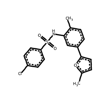 Cc1ccc(-c2ccc(C)c(NS(=O)(=O)c3ccc(Cl)cc3)c2)o1